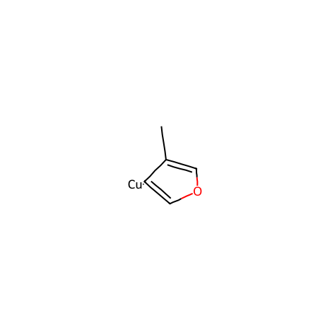 Cc1ccoc1.[Cu]